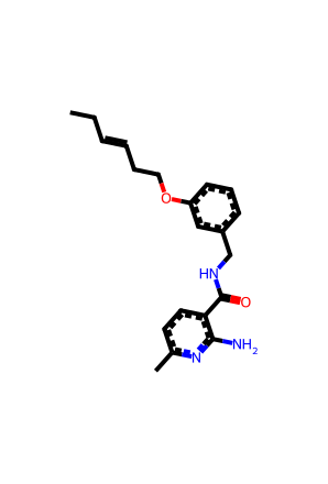 CCC=CCCOc1cccc(CNC(=O)c2ccc(C)nc2N)c1